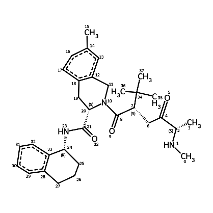 CN[C@@H](C)C(=O)C[C@H](C(=O)N1Cc2cc(C)ccc2C[C@H]1C(=O)N[C@@H]1CCCc2ccccc21)C(C)(C)C